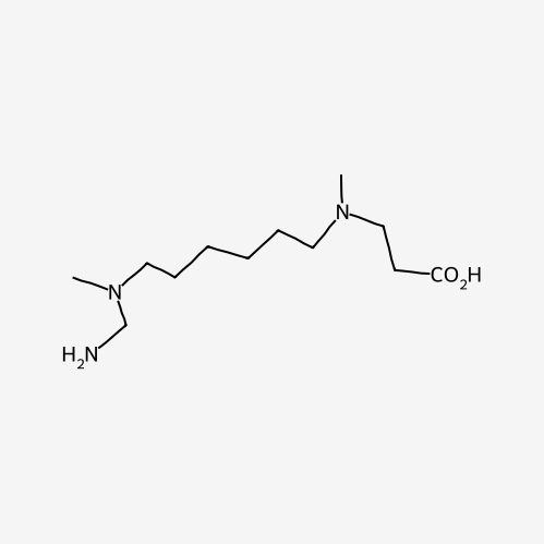 CN(CN)CCCCCCN(C)CCC(=O)O